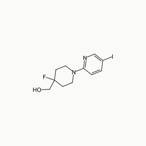 OCC1(F)CCN(c2ccc(I)cn2)CC1